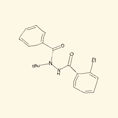 CCc1ccccc1C(=O)NN(C(=O)c1ccccc1)C(C)(C)C